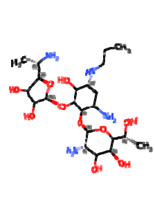 CCCN[C@@H]1CC(N)[C@@H](O[C@H]2OC([C@@H](C)O)[C@@H](O)C(O)[C@@H]2N)C(O[C@@H]2O[C@H]([C@H](C)N)C(O)C2O)C1O